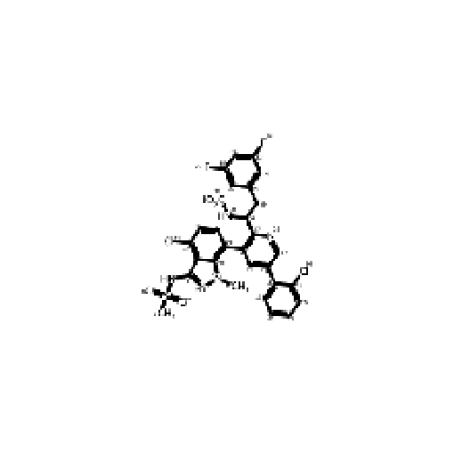 Cn1nc(NS(C)(=O)=O)c2c(Cl)ccc(-c3cc(-c4ccccc4Cl)cnc3C(Cc3cc(F)cc(F)c3)NC(=O)O)c21